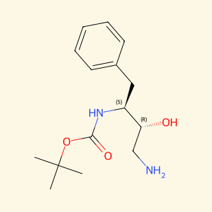 CC(C)(C)OC(=O)N[C@@H](Cc1ccccc1)[C@H](O)CN